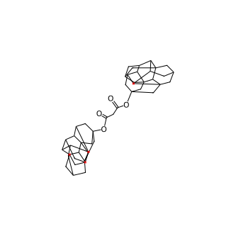 O=C(CC(=O)OC12CC3C4C5CC6CC78CC9CC(C57)C3C(C9)(C1)C8C4(C6)C2)OC12CC3C4C5CC6CC78CC9CC(C57)C3C(C9)(C1)C8C4(C6)C2